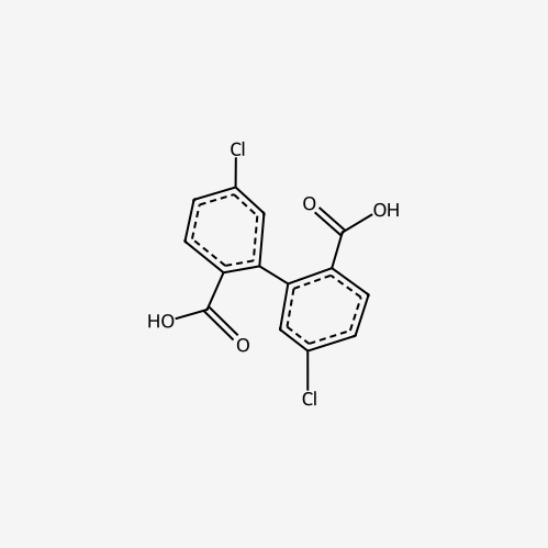 O=C(O)c1ccc(Cl)cc1-c1cc(Cl)ccc1C(=O)O